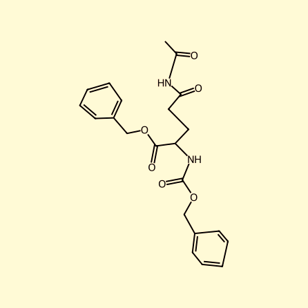 CC(=O)NC(=O)CCC(NC(=O)OCc1ccccc1)C(=O)OCc1ccccc1